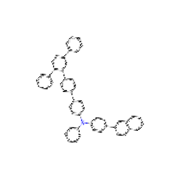 c1ccc(-c2ccc(-c3ccccc3)c(-c3ccc(-c4ccc(N(c5ccccc5)c5ccc(-c6ccc7ccccc7c6)cc5)cc4)cc3)c2)cc1